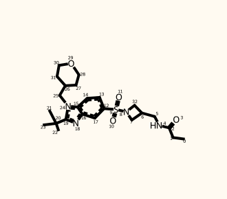 CCC(=O)NCC1CN(S(=O)(=O)c2ccc3c(c2)nc(C(C)(C)C)n3CC2CCOCC2)C1